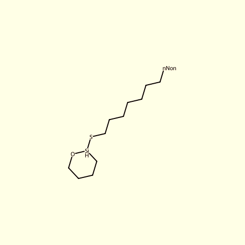 CCCCCCCCCCCCCCCCS[SiH]1CCCCO1